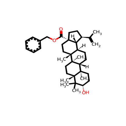 C=C(C)[C@@H]1CC[C@]2(C(=O)OCc3ccccc3)CC[C@]3(C)[C@H](CC[C@@H]4[C@@]5(C)CC[C@H](O)C(C)(C)[C@]5(C)CC[C@]43C)[C@@H]12